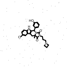 CC12Cc3c([nH]c4ccc(Cl)cc34)C(c3cccc(O)c3)N1C(=O)N(CCCN1CCC1)C2=O